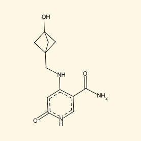 NC(=O)c1c[nH]c(=O)cc1NCC12CC(O)(C1)C2